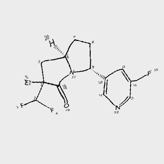 CCC1(C(F)F)C[C@H]2CC[C@H](c3cncc(F)c3)N2C1=O